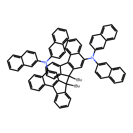 CC(C)(C)C1(C2(C(C)(C)C)c3ccccc3-c3c2cc(N(c2ccc4ccccc4c2)c2ccc4ccccc4c2)c2ccccc32)c2ccccc2-c2c1cc(N(c1ccc3ccccc3c1)c1ccc3ccccc3c1)c1ccccc21